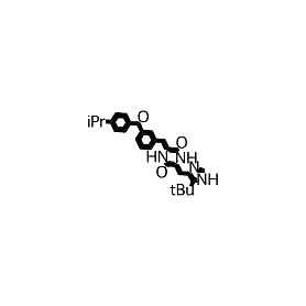 CC(C)c1ccc(C(=O)c2cccc(/C=c3\[nH]c(=O)/c(=C/c4nc[nH]c4C(C)(C)C)[nH]c3=O)c2)cc1